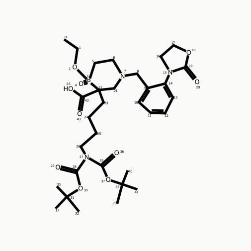 CCOP1(=O)CCN(Cc2ccccc2N2CCOC2=O)CC1(CCCCN(C(=O)OC(C)(C)C)C(=O)OC(C)(C)C)C(=O)O